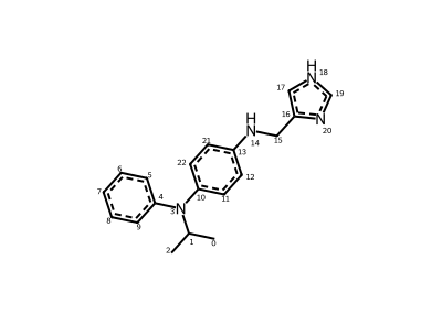 CC(C)N(c1ccccc1)c1ccc(NCc2c[nH]cn2)cc1